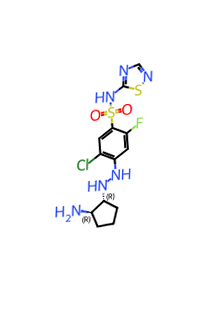 N[C@@H]1CCC[C@H]1NNc1cc(F)c(S(=O)(=O)Nc2ncns2)cc1Cl